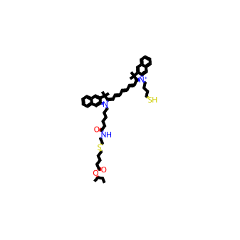 CCC(C)OC(=O)CCCCSCCNC(=O)CCCCCN1/C(=C/C=C/C=C/C=C/C2=[N+](CCCCS)c3cc4ccccc4cc3C2(C)C)C(C)(C)c2cc3ccccc3cc21